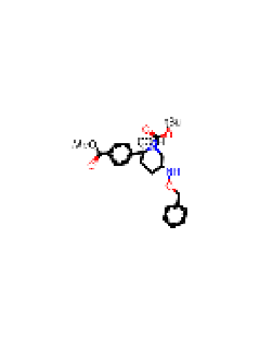 COC(=O)c1ccc([C@]2(C(=O)O)CC[C@@H](NOCc3ccccc3)CN2C(=O)OC(C)(C)C)cc1